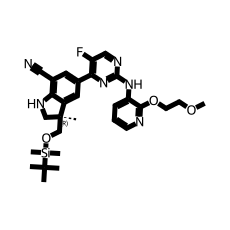 COCCOc1ncccc1Nc1ncc(F)c(-c2cc(C#N)c3c(c2)[C@@](C)(CO[Si](C)(C)C(C)(C)C)CN3)n1